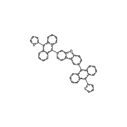 c1csc(-c2c3ccccc3c(-c3ccc4c(c3)oc3ccc(-c5c6ccccc6c(-c6cccs6)c6ccccc56)cc34)c3ccccc23)c1